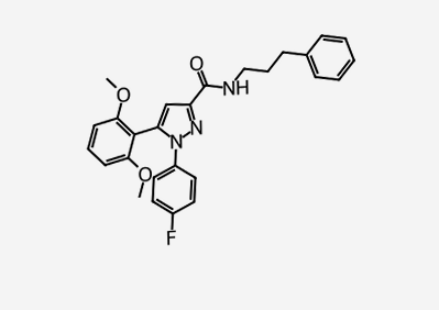 COc1cccc(OC)c1-c1cc(C(=O)NCCCc2ccccc2)nn1-c1ccc(F)cc1